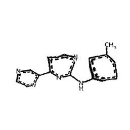 Cc1cccc(Nc2nccc(-c3cnccn3)n2)c1